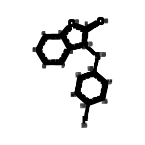 O=c1oc2ccccc2n1Sc1ccc(F)cc1